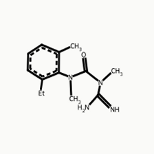 CCc1cccc(C)c1N(C)C(=O)N(C)C(=N)N